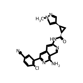 Cn1cc([C@H]2C[C@@H]2C(=O)Nc2cc3cc(-c4cc(C#N)ccc4Cl)nc(N)c3cn2)cn1